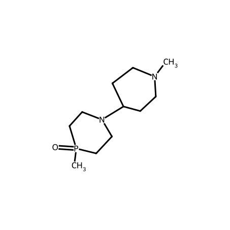 CN1CCC(N2CCP(C)(=O)CC2)CC1